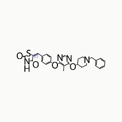 Cc1c(Oc2ccc(/C=C3/SC(=O)NC3=O)cc2)ncnc1OC1CCN(Cc2ccccc2)CC1